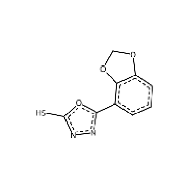 Sc1nnc(-c2cccc3c2OCO3)o1